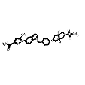 Cc1cc(C(N)=O)nn1-c1ccc2c(ccn2Cc2ccc([C@H]3C[C@@H]4CN(S(C)(=O)=O)C[C@@H]4C3)cc2)c1